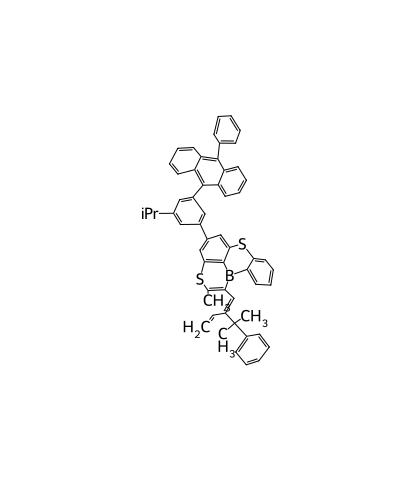 C=C/C(=C\C1=C(C)Sc2cc(-c3cc(-c4c5ccccc5c(-c5ccccc5)c5ccccc45)cc(C(C)C)c3)cc3c2B1c1ccccc1S3)C(C)(C)c1ccccc1